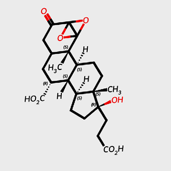 C[C@@]12C(CC(=O)C34OC31O4)C[C@@H](C(=O)O)[C@@H]1[C@@H]2CC[C@@]2(C)[C@H]1CC[C@@]2(O)CCC(=O)O